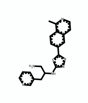 Cc1nccc2cc(-c3nnc(NC(CN)Cc4cccnc4)s3)ccc12